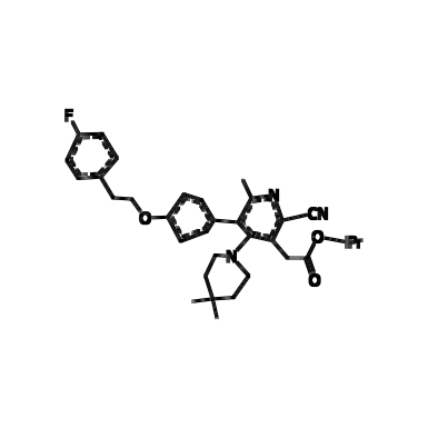 Cc1nc(C#N)c(CC(=O)OC(C)C)c(N2CCC(C)(C)CC2)c1-c1ccc(OCCc2ccc(F)cc2)cc1